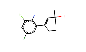 CCC(=CC(C)(C)O)c1cc(Cl)cc(F)c1N